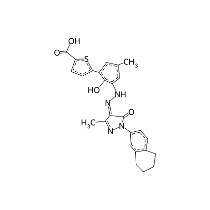 CC1=NN(c2ccc3c(c2)CCCC3)C(=O)/C1=N\Nc1cc(C)cc(-c2ccc(C(=O)O)s2)c1O